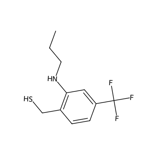 CCCNc1cc(C(F)(F)F)ccc1CS